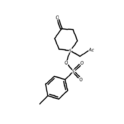 CC(=O)CS1(OS(=O)(=O)c2ccc(C)cc2)CCC(=O)CC1